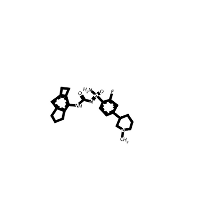 CN1CCCC(c2ccc(S(N)(=O)=NC(=O)Nc3c4c(cc5c3CC5)CCC4)c(F)c2)C1